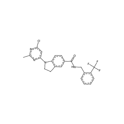 Cc1nc(Cl)cc(N2CCc3cc(C(=O)NCc4ccccc4C(F)(F)F)ccc32)n1